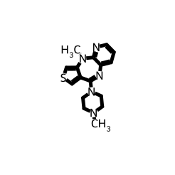 CN1CCN(C2=Nc3cccnc3N(C)c3cscc32)CC1